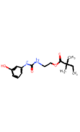 CCC(C)(C)C(=O)OCCNC(=O)Nc1cccc(O)c1